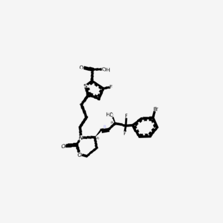 O=C(O)c1sc(CCCN2C(=O)OCC[C@@H]2/C=C/[C@@H](O)C(F)(F)c2cccc(Br)c2)cc1F